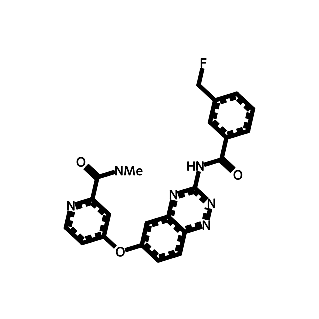 CNC(=O)c1cc(Oc2ccc3nnc(NC(=O)c4cccc(CF)c4)nc3c2)ccn1